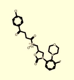 O=C(CCC(=O)[N@@H+]([O-])CC1CN(c2cccc(F)c2N2CCOCC2)C(=O)O1)c1ccc(Cl)cc1